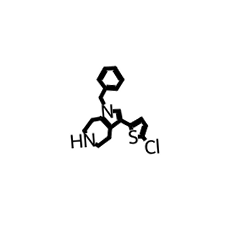 Clc1ccc(-c2cn(Cc3ccccc3)c3c2CCNCC3)s1